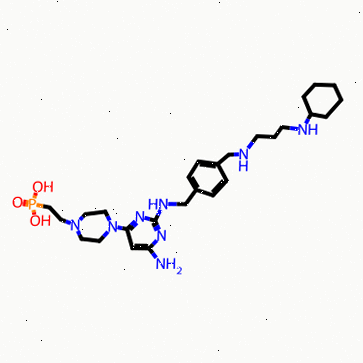 Nc1cc(N2CCN(CCP(=O)(O)O)CC2)nc(NCc2ccc(CNCCCNC3CCCCC3)cc2)n1